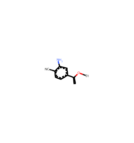 C=C(OCC)c1ccc(C#N)c(N)c1